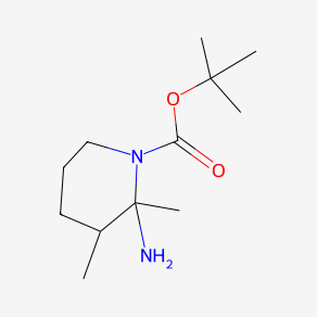 CC1CCCN(C(=O)OC(C)(C)C)C1(C)N